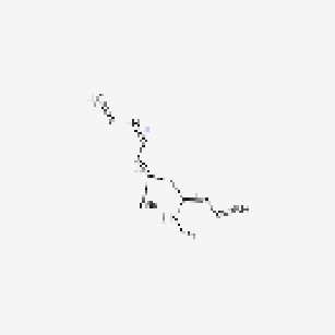 C=C/N=C\C=C(\CCCC)C/C(=C/C=N)NC(C)C